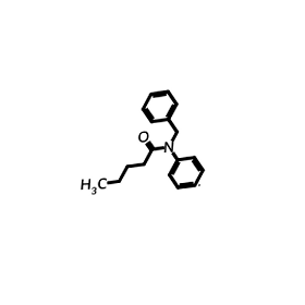 CCCCC(=O)N(Cc1ccccc1)c1cc[c]cc1